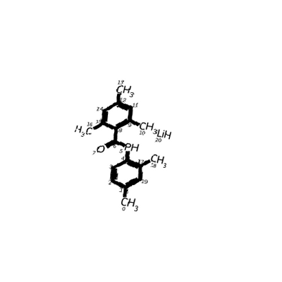 Cc1ccc(PC(=O)c2c(C)cc(C)cc2C)c(C)c1.[LiH]